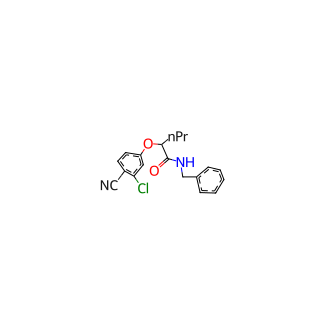 CCCC(Oc1ccc(C#N)c(Cl)c1)C(=O)NCc1ccccc1